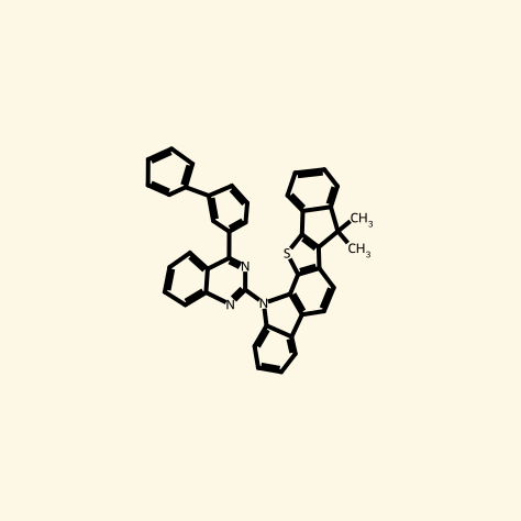 CC1(C)c2ccccc2-c2sc3c(ccc4c5ccccc5n(-c5nc(-c6cccc(-c7ccccc7)c6)c6ccccc6n5)c43)c21